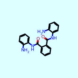 Nc1ccccc1NC(=O)c1ccccc1C(=O)Nc1ccccc1N